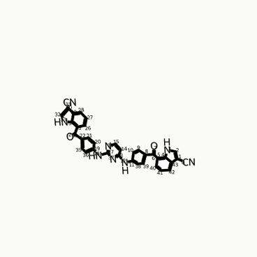 N#Cc1c[nH]c2c(C(=O)c3ccc(Nc4ccnc(Nc5ccc(C(=O)c6cccc7c(C#N)c[nH]c67)cc5)n4)cc3)cccc12